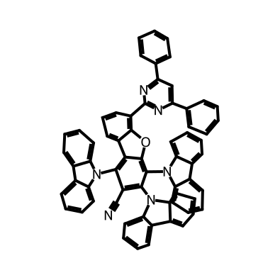 N#Cc1c(-n2c3ccccc3c3ccccc32)c(-n2c3ccccc3c3ccccc32)c2oc3c(-c4nc(-c5ccccc5)cc(-c5ccccc5)n4)cccc3c2c1-n1c2ccccc2c2ccccc21